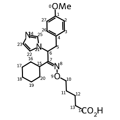 COc1ccc(CC(C(=NOCCCCC(=O)O)C2CCCCC2)n2ccnc2)cc1